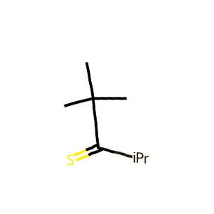 CC(C)C(=S)C(C)(C)C